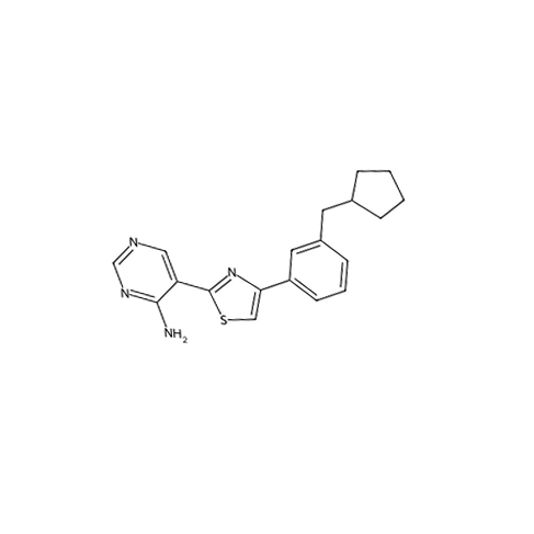 Nc1ncncc1-c1nc(-c2cccc(CC3CCCC3)c2)cs1